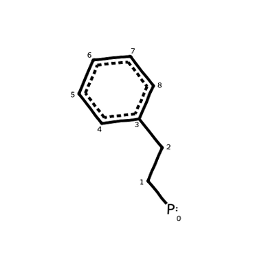 [P]CCc1ccccc1